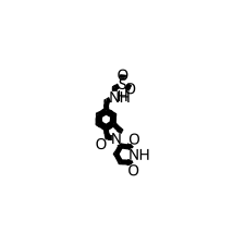 O=C1CCC(N2Cc3cc(CNC[SH](=O)=O)ccc3C2=O)C(=O)N1